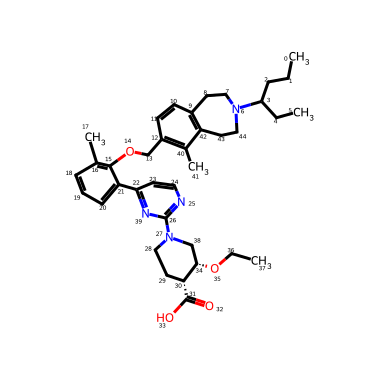 CCCC(CC)N1CCc2ccc(COc3c(C)cccc3-c3ccnc(N4CC[C@@H](C(=O)O)[C@@H](OCC)C4)n3)c(C)c2CC1